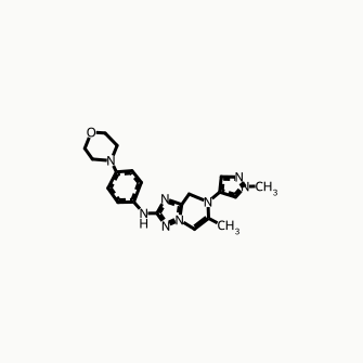 CC1=Cn2nc(Nc3ccc(N4CCOCC4)cc3)nc2CN1c1cnn(C)c1